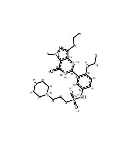 CCCc1nn(C)c2c(=O)[nH]c(-c3cc(NS(=O)(=O)CCCN4CCOCC4)ccc3OCC)nc12